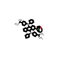 CC(C)c1ccc(N(c2ccccc2)c2c3ccccc3c(N(c3ccccc3)c3ccc(C(C)C)cc3)c3cc(C45CCC6CC(CC(C6)C4)C5)ccc23)cc1